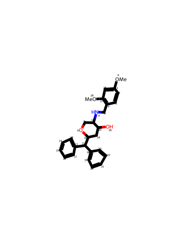 COc1ccc(CNC2COC(C(c3ccccc3)c3ccccc3)CC2O)c(OC)c1